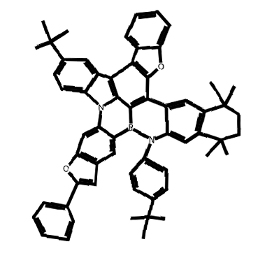 CC(C)(C)c1ccc(N2B3c4cc5cc(-c6ccccc6)oc5cc4-n4c5ccc(C(C)(C)C)cc5c5c6c(oc7ccccc76)c(c3c54)-c3cc4c(cc32)C(C)(C)CCC4(C)C)cc1